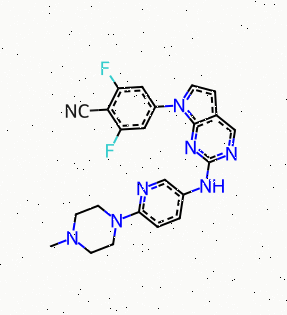 CN1CCN(c2ccc(Nc3ncc4ccn(-c5cc(F)c(C#N)c(F)c5)c4n3)cn2)CC1